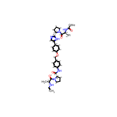 C=CN[C@@H](C)C(=O)N1CCC[C@H]1C(=O)Nc1ccc(COc2ccc(-c3cnc([C@@H]4CCCN4C(=O)[C@@H](NC(=O)OC)C(C)C)[nH]3)cc2)cc1